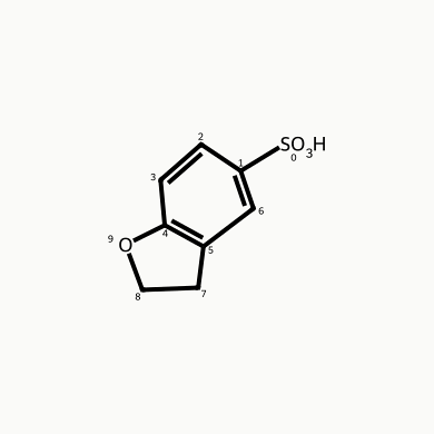 O=S(=O)(O)c1ccc2c(c1)CCO2